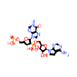 Nc1ncnc2c1ccn2[C@@H]1OC(COP(=O)(O)[C@@H]2CC(CO[PH](=O)O)O[C@H]2n2cnc3c(=O)[nH]cnc32)[C@@H](O)[C@H]1O